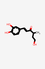 CC(CCO)C(=O)/C=C/c1ccc(O)c(O)c1